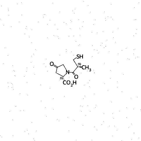 C[C@H](CS)C(=O)N1CC(=O)C[C@H]1C(=O)O